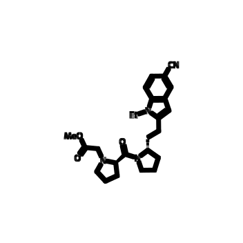 CCn1c(CC[C@@H]2CCCN2C(=O)[C@H]2CCCN2CC(=O)OC)cc2cc(C#N)ccc21